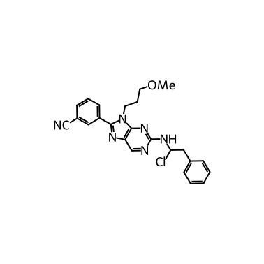 COCCCn1c(-c2cccc(C#N)c2)nc2cnc(NC(Cl)Cc3ccccc3)nc21